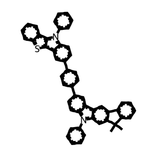 CC1(C)c2ccccc2-c2cc3c4cc(-c5ccc(-c6ccc7c(c6)c6sc8ccccc8c6n7-c6ccccc6)cc5)ccc4n(-c4ccccc4)c3cc21